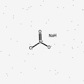 O=[N+]([O-])Cl.[NaH]